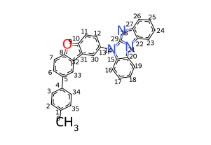 Cc1ccc(-c2ccc3oc4ccc(-n5c6ccccc6n6c7ccccc7nc56)cc4c3c2)cc1